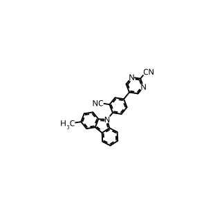 Cc1ccc2c(c1)c1ccccc1n2-c1ccc(-c2cnc(C#N)nc2)cc1C#N